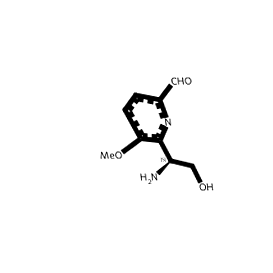 COc1ccc(C=O)nc1[C@H](N)CO